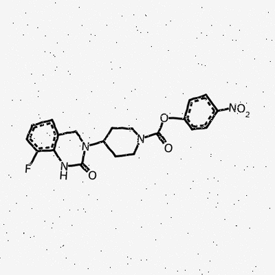 O=C(Oc1ccc([N+](=O)[O-])cc1)N1CCC(N2Cc3cccc(F)c3NC2=O)CC1